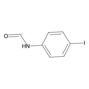 O=[C]Nc1ccc(I)cc1